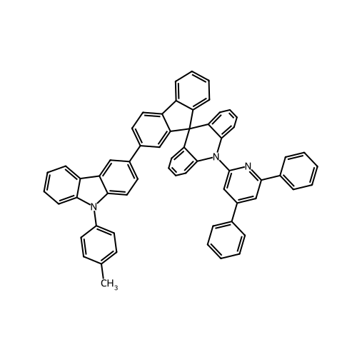 Cc1ccc(-n2c3ccccc3c3cc(-c4ccc5c(c4)C4(c6ccccc6-5)c5ccccc5N(c5cc(-c6ccccc6)cc(-c6ccccc6)n5)c5ccccc54)ccc32)cc1